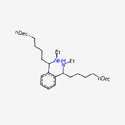 CCCCCCCCCCCCCCC(NCC)c1ccccc1C(CCCCCCCCCCCCCC)NCC